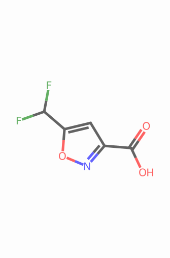 O=C(O)c1cc(C(F)F)on1